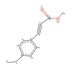 CCc1ccc(C#CC(=O)OC)cc1